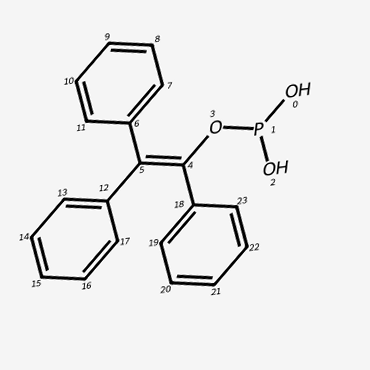 OP(O)OC(=C(c1ccccc1)c1ccccc1)c1ccccc1